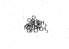 C[C@@H]1CN(c2c(CO[Si](c3ccccc3)(c3ccccc3)C(C)(C)C)nc(C(=O)c3nccn3C)c(F)c2Cl)C[C@H](C)O1